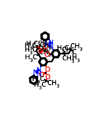 CC(C)(C)CC(C)(C)c1cc(Cc2cc(C(C)(C)CC(C)(C)C)cc(-n3n4c5ccccc5n34)c2OC(=O)OC(C)(C)C)c(OC(=O)OC(C)(C)C)c(-n2n3c4ccccc4n23)c1